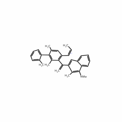 C=C(c1cc2ccccc2c(NC)c1C)c1c(/C=C\C)cc(C)c(-c2ccccc2C)c1C